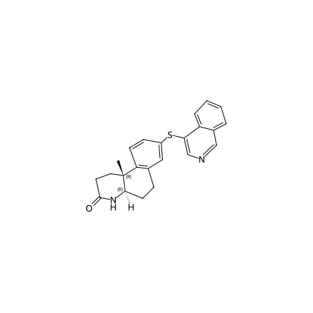 C[C@]12CCC(=O)N[C@@H]1CCc1cc(Sc3cncc4ccccc34)ccc12